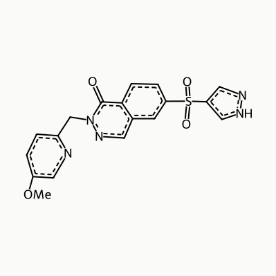 COc1ccc(Cn2ncc3cc(S(=O)(=O)c4cn[nH]c4)ccc3c2=O)nc1